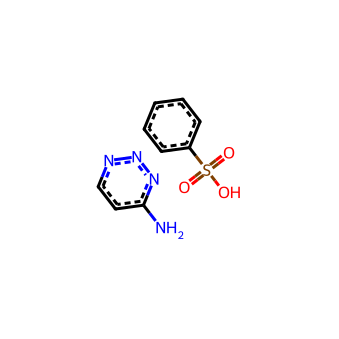 Nc1ccnnn1.O=S(=O)(O)c1ccccc1